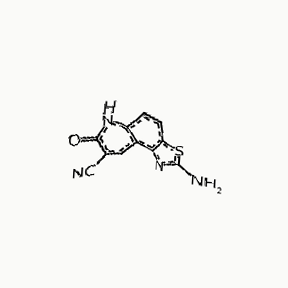 N#Cc1cc2c(ccc3sc(N)nc32)[nH]c1=O